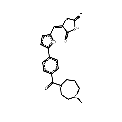 CN1CCCN(C(=O)c2ccc(-c3ccc(C=C4SC(=O)NC4=O)o3)cc2)CC1